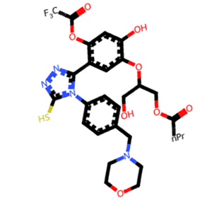 CCCC(=O)OCC(CO)Oc1cc(-c2nnc(S)n2-c2ccc(CN3CCOCC3)cc2)c(OC(=O)C(F)(F)F)cc1O